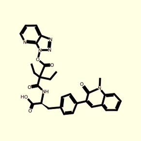 CCC(CC)(C(=O)N[C@@H](Cc1ccc(-c2cc3ccccc3n(C)c2=O)cc1)C(=O)O)C(=O)On1nnc2cccnc21